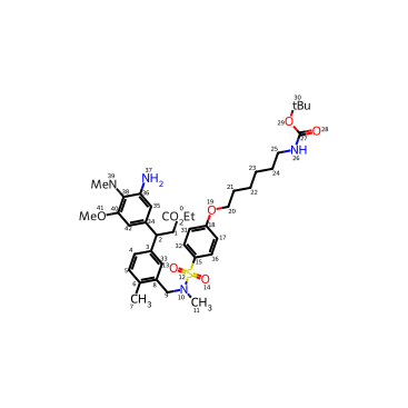 CCOC(=O)CC(c1ccc(C)c(CN(C)S(=O)(=O)c2ccc(OCCCCCCNC(=O)OC(C)(C)C)cc2)c1)c1cc(N)c(NC)c(OC)c1